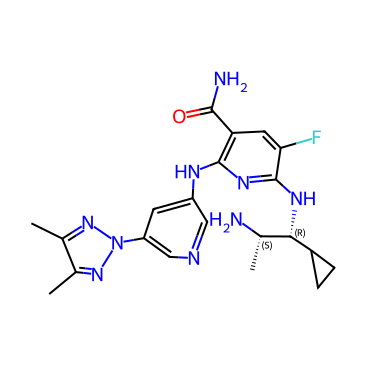 Cc1nn(-c2cncc(Nc3nc(N[C@H](C4CC4)[C@H](C)N)c(F)cc3C(N)=O)c2)nc1C